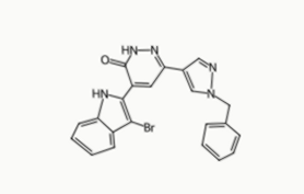 O=c1[nH]nc(-c2cnn(Cc3ccccc3)c2)cc1-c1[nH]c2ccccc2c1Br